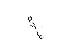 Cl.O=C(/C=C/c1cccnc1)NCCC1CCN(Cc2ccccc2)CC1